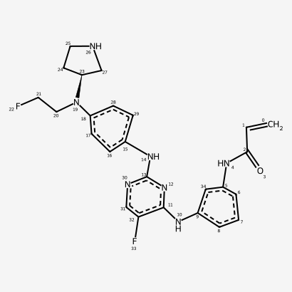 C=CC(=O)Nc1cccc(Nc2nc(Nc3ccc(N(CCF)[C@H]4CCNC4)cc3)ncc2F)c1